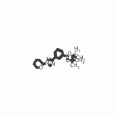 CC1(C)OB(c2cccc(-c3ncn(C4CCCCO4)n3)c2)OC1(C)C